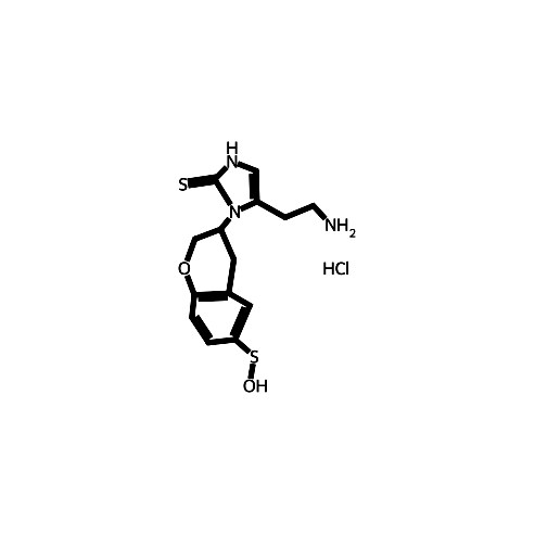 Cl.NCCc1c[nH]c(=S)n1C1COc2ccc(SO)cc2C1